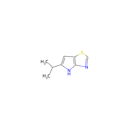 CC(C)c1cc2scnc2[nH]1